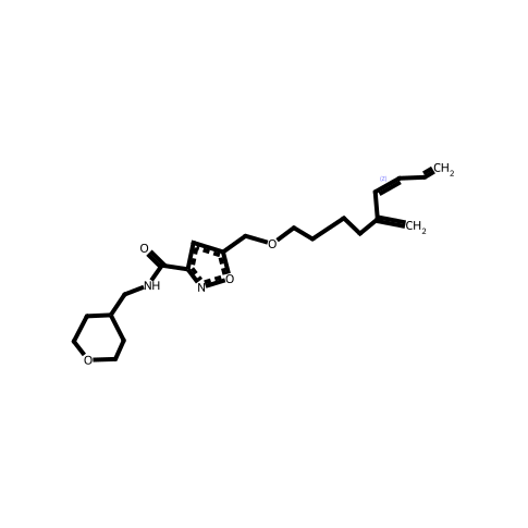 C=C/C=C\C(=C)CCCCOCc1cc(C(=O)NCC2CCOCC2)no1